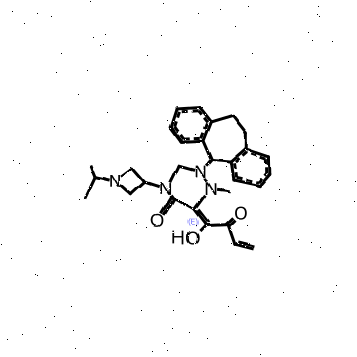 C=CC(=O)/C(O)=C1/C(=O)N(C2CN(C(C)C)C2)CN(C2c3ccccc3CCc3ccccc32)N1C